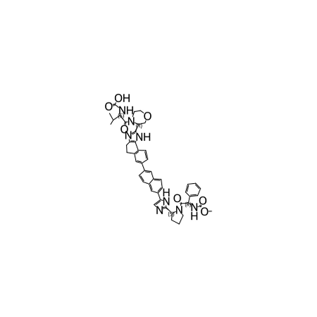 COC(=O)N[C@@H](C(=O)N1CCC[C@H]1c1ncc(-c2ccc3cc(-c4ccc5c(c4)CCc4nc([C@@H]6COCCN6C(=O)[C@@H](NC(=O)O)C(C)C)[nH]c4-5)ccc3c2)[nH]1)c1ccccc1